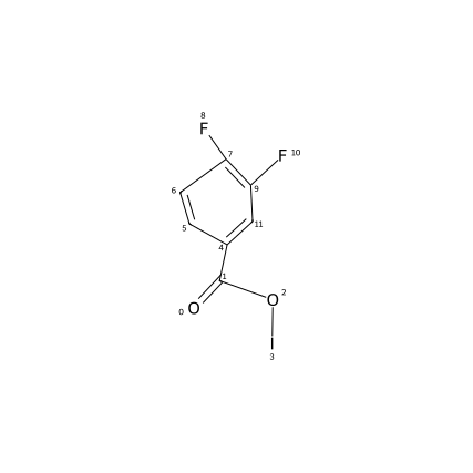 O=C(OI)c1ccc(F)c(F)c1